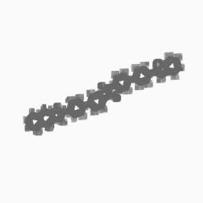 c1ccc2cc3sc(-c4ccc(-c5ccc6c(c5)sc5c7ccc(-c8ccc(-c9cc%10ccccc%10o9)cc8)cc7sc65)cc4)cc3cc2c1